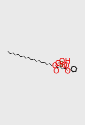 CCCCCCCCCCCCCCCCCCOC(=O)C(CC(=O)Oc1ccccc1)S(=O)(=O)O